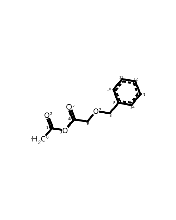 [CH2]C(=O)OC(=O)COCc1ccccc1